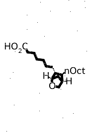 CCCCCCCC[C@H]1[C@H]2CO[C@H](C2)[C@@H]1CCCCCCC(=O)O